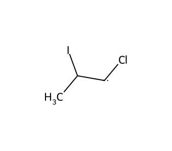 CC(I)[CH]Cl